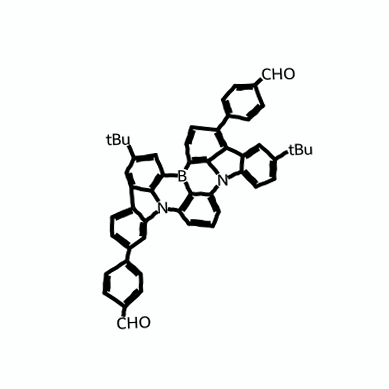 CC(C)(C)c1ccc2c(c1)c1c(-c3ccc(C=O)cc3)ccc3c1n2-c1cccc2c1B3c1cc(C(C)(C)C)cc3c4ccc(-c5ccc(C=O)cc5)cc4n-2c13